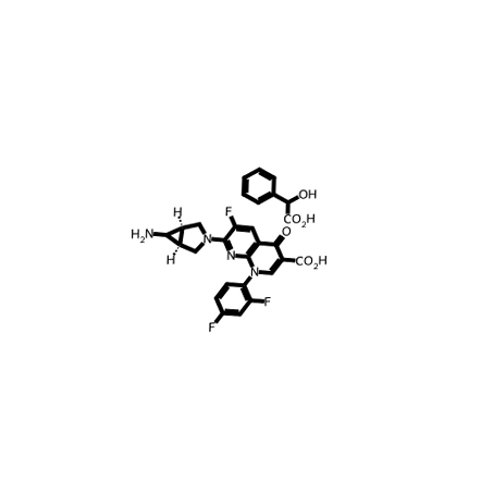 NC1[C@H]2CN(c3nc4c(cc3F)c(=O)c(C(=O)O)cn4-c3ccc(F)cc3F)C[C@@H]12.O=C(O)C(O)c1ccccc1